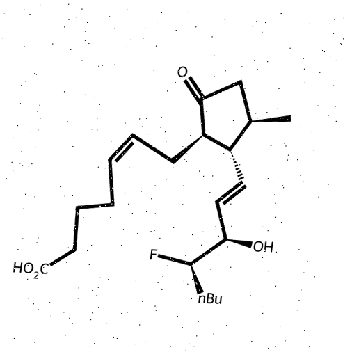 CCCC[C@@H](F)[C@H](O)/C=C/[C@H]1[C@H](C)CC(=O)[C@@H]1C/C=C\CCCC(=O)O